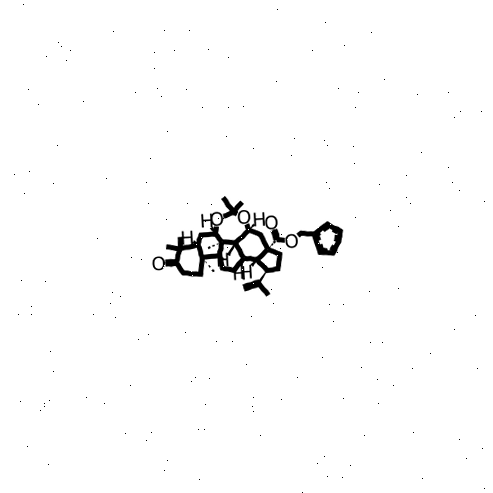 C=C(C)[C@@H]1CC[C@]2(C(=O)OCc3ccccc3)C[C@@H]3OC(C)(C)O[C@H]4C[C@H]5C(C)(C)C(=O)CC[C@]5(C)[C@H]5CC[C@H]([C@@H]12)[C@]3(C)[C@]45C